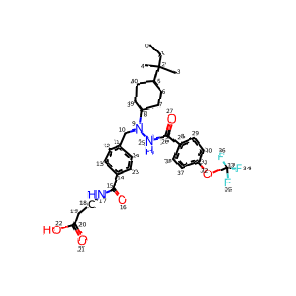 CCC(C)(C)C1CCC(N(Cc2ccc(C(=O)NCCC(=O)O)cc2)NC(=O)c2ccc(OC(F)(F)F)cc2)CC1